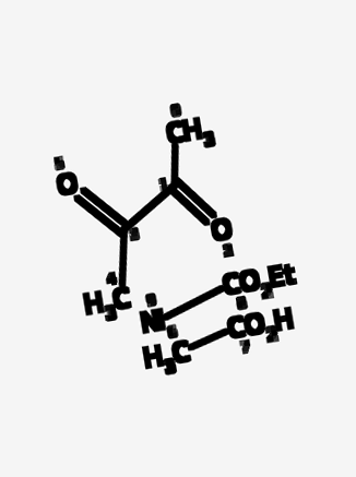 CC(=O)C(C)=O.CC(=O)O.CCO[C](=O)[Ni]